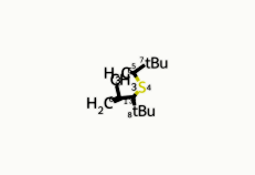 C=C(C)C(SC(C)C(C)(C)C)C(C)(C)C